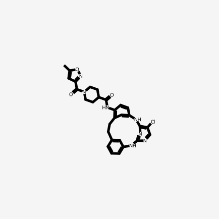 Cc1cc(C(=O)N2CCC(C(=O)Nc3ccc4cc3CCc3cccc(c3)Nc3ncc(Cl)c(n3)N4)CC2)no1